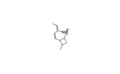 C#CC1CC(C)C1/C=C\C(N)=C/C